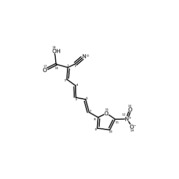 N#C\C(=C/C=C/C=C/c1ccc([N+](=O)[O-])o1)C(=O)O